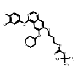 CC(C)(C)OC(=O)NCCCOc1cc2ncnc(Nc3ccc(F)c(Cl)c3)c2cc1OC1CCOCC1